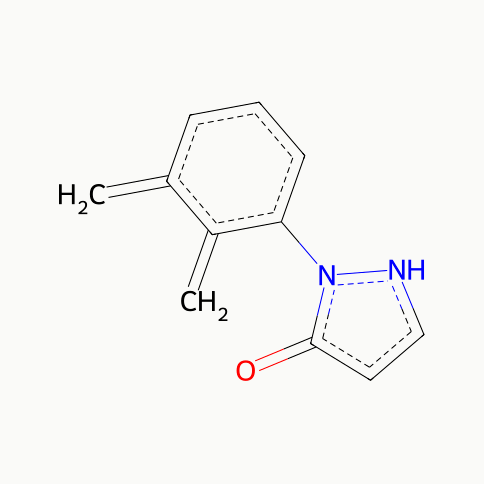 C=c1cccc(-n2[nH]ccc2=O)c1=C